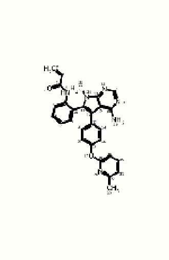 C=CC(=O)Nc1ccccc1-c1c(-c2ccc(Oc3cccc(C)n3)cc2)c2c(N)ncnc2n1C